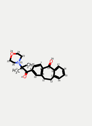 CC(C)(C(=O)c1ccc2c(c1)CCc1ccccc1C2=O)N1CCOCC1